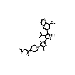 COc1cc(-c2[nH]nc(-c3nc(C)c(N4CCN(C(=O)CN(C)C)CC4)s3)c2C(C)C)cn2ncnc12